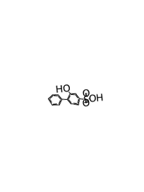 O=S(=O)(O)c1ccc(-c2ccccc2)c(O)c1